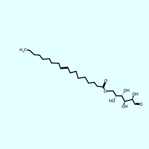 CCCCCCCCC=CCCCCCCCC(=O)OC[C@@H](O)[C@H](O)[C@H](O)[C@@H](O)C=O